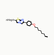 C=CCCCCCCOc1ccc(-c2cn3cc(CCCCCCC)sc3n2)cc1